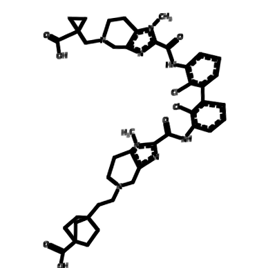 Cn1c(C(=O)Nc2cccc(-c3cccc(NC(=O)c4nc5c(n4C)CCN(CC4(C(=O)O)CC4)C5)c3Cl)c2Cl)nc2c1CCN(CCC13CCC(C(=O)O)(CC1)C3)C2